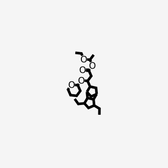 CCOC(C)OC(=O)CC(OC1CCCCO1)C1CC2CC1C1C(CC)CC(CC)C21